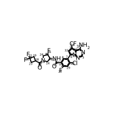 Nc1ncnn2c(-c3cc(C(=O)N[C@@H]4CN(C(=O)C5CC(F)(F)C5)C[C@@H]4F)c(F)cc3Cl)cc(C(F)(F)F)c12